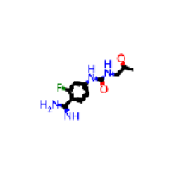 CC(=O)CNC(=O)Nc1ccc(C(=N)N)c(F)c1